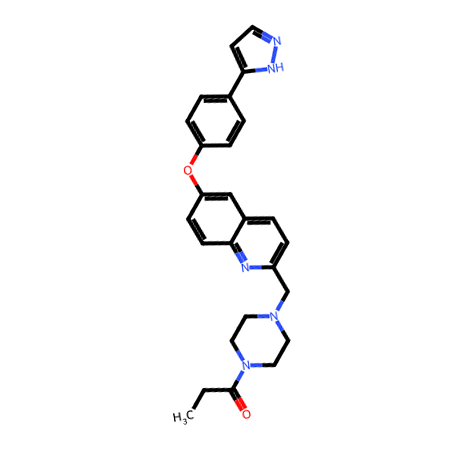 CCC(=O)N1CCN(Cc2ccc3cc(Oc4ccc(-c5ccn[nH]5)cc4)ccc3n2)CC1